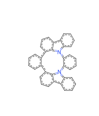 c1ccc2c(c1)c1cccc3c4ccccc4n(c4ccccc4n4c5ccccc5c5cccc2c54)c13